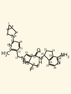 Cc1nc(N2CC3CC3C2)ccc1Cn1cc(C(=O)NC2CCc3c2ccnc3N)c(C(F)F)n1